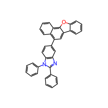 c1ccc(-c2nc3cc(-c4cc5c6ccccc6oc5c5ccccc45)ccc3n2-c2ccccc2)cc1